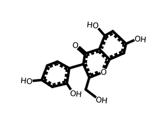 O=c1c(-c2ccc(O)cc2O)c(CO)oc2cc(O)cc(O)c12